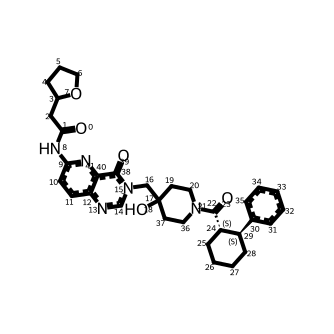 O=C(CC1CCCO1)Nc1ccc2ncn(CC3(O)CCN(C(=O)[C@H]4CCCC[C@@H]4c4ccccc4)CC3)c(=O)c2n1